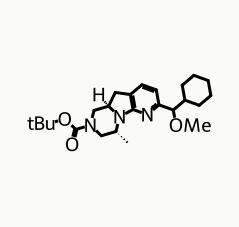 COC(c1ccc2c(n1)N1[C@H](C2)CN(C(=O)OC(C)(C)C)C[C@H]1C)C1CCCCC1